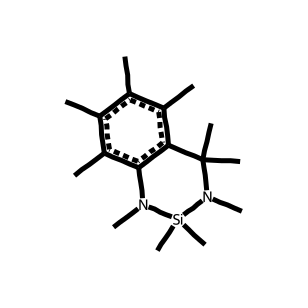 Cc1c(C)c(C)c2c(c1C)N(C)[Si](C)(C)N(C)C2(C)C